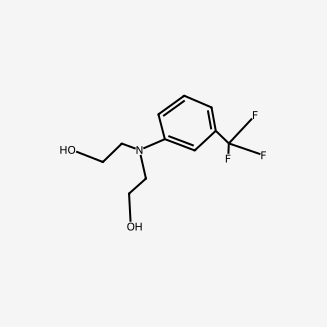 OCCN(CCO)c1cccc(C(F)(F)F)c1